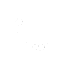 CC(=O)Nc1ccc2sc(CC(=O)CC3CCN(Cc4ccccc4)CC3)cc2c1